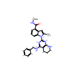 CONC(=O)c1cccc2c1cc(C)n2-c1nc2c(c(NCc3ccccc3)n1)CCCN2